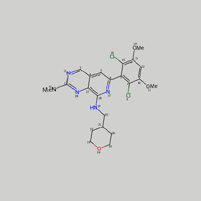 CNc1ncc2cc(-c3c(Cl)c(OC)cc(OC)c3Cl)nc(NCC3CCOCC3)c2n1